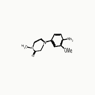 COc1cc(N2CCN(C)C(=O)C2)ccc1N